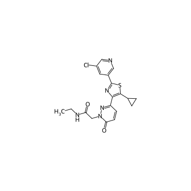 CCNC(=O)Cn1nc(-c2nc(-c3cncc(Cl)c3)sc2C2CC2)ccc1=O